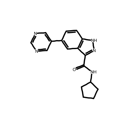 O=C(NC1CCCC1)c1n[nH]c2ccc(-c3cncnc3)cc12